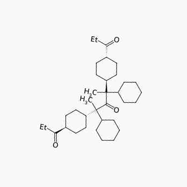 CCC(=O)[C@H]1CC[C@H](C(C)(C(=O)C(C)(C2CCCCC2)[C@H]2CC[C@H](C(=O)CC)CC2)C2CCCCC2)CC1